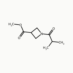 COC(=O)C1CN(C(=O)C(C)C)C1